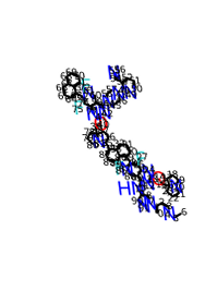 C=C(/C=C\N=C/C)n1cc(Nc2nc(OCC34CCCN3CCC4)nc3c(F)c(-c4cccc5c(C6CCC7(COc8nc(N9CCN(c%10ncccc%10/C=N\C)CC9)c9cnc(-c%10cccc%11cccc(F)c%10%11)c(F)c9n8)CCCN67)ccc(F)c45)ncc23)cn1